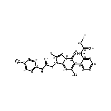 CCc1nc2n(CC(=O)Nc3ccc(C(F)(F)F)cc3)c(C)cn2c(=O)c1-c1ccccc1NC(=O)CCl